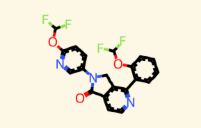 O=C1c2ccnc(-c3ccccc3OC(F)F)c2CN1c1ccc(OC(F)F)nc1